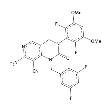 COc1cc(OC)c(F)c(N2Cc3cnc(N)c(C#N)c3N(Cc3cc(F)cc(F)c3)C2=O)c1F